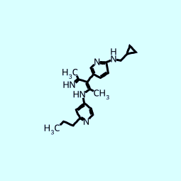 CCCc1cc(N/C(C)=C(\C(C)=N)c2ccc(NCC3CC3)nc2)ccn1